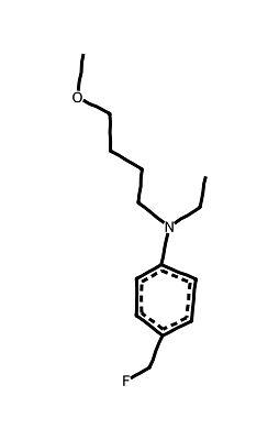 CCN(CCCCOC)c1ccc(CF)cc1